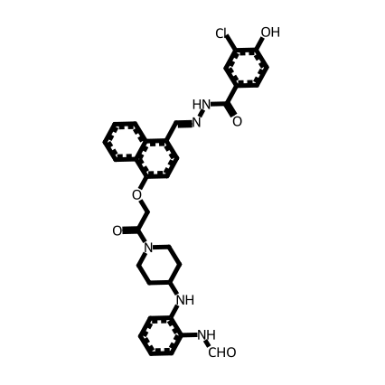 O=CNc1ccccc1NC1CCN(C(=O)COc2ccc(/C=N/NC(=O)c3ccc(O)c(Cl)c3)c3ccccc23)CC1